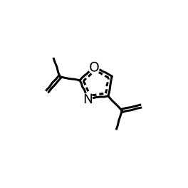 C=C(C)c1coc(C(=C)C)n1